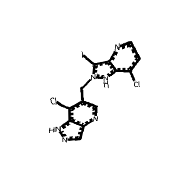 Clc1c(C[n+]2[nH]c3c(Cl)ccnc3c2I)cnc2cn[nH]c12